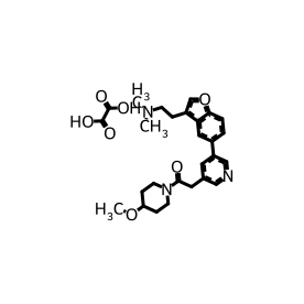 COC1CCN(C(=O)Cc2cncc(-c3ccc4occ(CCN(C)C)c4c3)c2)CC1.O=C(O)C(=O)O